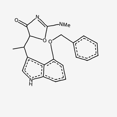 CNC1=NC(=O)C(C(C)c2c[nH]c3cccc(OCc4ccccc4)c23)O1